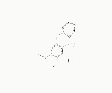 ClNc1cc(Oc2ccccc2)c(NCl)c(NCl)c1NCl